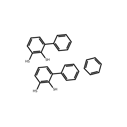 Sc1cccc(-c2ccccc2)c1S.Sc1cccc(-c2ccccc2)c1S.c1ccccc1